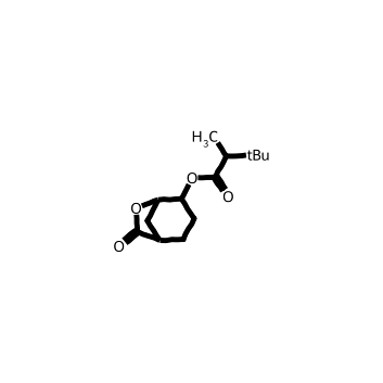 CC(C(=O)OC1CCC2CC1OC2=O)C(C)(C)C